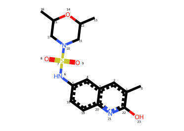 Cc1cc2cc(NS(=O)(=O)N3CC(C)OC(C)C3)ccc2nc1O